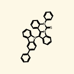 S=c1n(-c2ccccc2)c2ccccc2c2c(-n3c4ccccc4c4cc(-c5ccccc5)ccc43)c3ccccc3n12